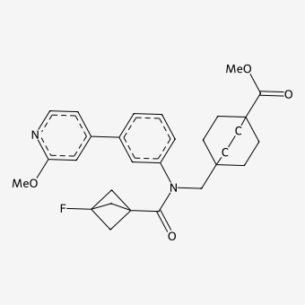 COC(=O)C12CCC(CN(C(=O)C34CC(F)(C3)C4)c3cccc(-c4ccnc(OC)c4)c3)(CC1)CC2